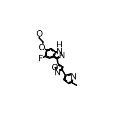 COCCOc1cc2[nH]nc(-c3cc(-c4ccc(C)nc4)no3)c2cc1F